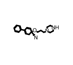 N#CC1(OCCCN2CCNCC2)C=CC(c2ccccc2)=CC1